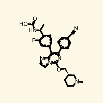 CC(NC(=O)O)c1ccc(-c2c(-c3ccc(C#N)cc3)nc(OC[C@@H]3CCCN(C)C3)n3ccnc23)cc1F